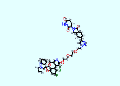 CNC(=O)c1cnc(OCCOCCOCCn2cc(-c3ccc4c(c3)CN(C3CCC(=O)NC3=O)C4=O)nn2)c(F)c1-c1c(Cl)c(F)cc2c1C[C@](c1ccccc1)([C@@H]1CCCN1)O2